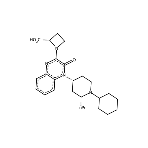 CCC[C@@H]1C[C@H](n2c(=O)c(N3CC[C@H]3C(=O)O)nc3ccccc32)CCN1C1CCCCC1